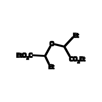 CCOC(=O)C(CC)OC(CC)C(=O)OCC